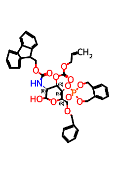 C=CCOC(=O)O[C@H]1[C@H](OP2(=O)OCc3ccccc3CO2)[C@@H](COCc2ccccc2)OC(O)[C@@H]1NC(=O)OCC1c2ccccc2-c2ccccc21